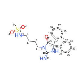 CS(=O)(=O)NCCCCN1C(=N)NC(c2ccccc2)(c2ccccc2)C1=O